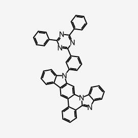 c1ccc(-c2nc(-c3ccccc3)nc(-c3cccc(-n4c5ccccc5c5cc6c7ccccc7c7nc8ccccc8n7c6cc54)c3)n2)cc1